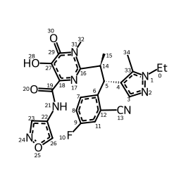 CCn1ncc([C@H](c2ccc(F)cc2C#N)[C@H](C)c2nc(C(=O)Nc3cnoc3)c(O)c(=O)n2C)c1C